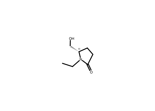 CCN1C(=O)CC[C@H]1CO